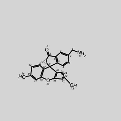 NCc1ccc2c(c1)C(=O)OC21c2ccc(O)cc2Oc2cc(O)ccc21